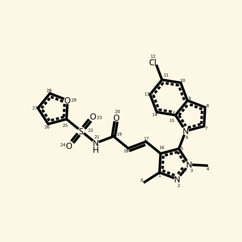 Cc1nn(C)c(-n2ccc3cc(Cl)ccc32)c1/C=C/C(=O)NS(=O)(=O)c1ccco1